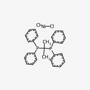 CC(C)(P(c1ccccc1)c1ccccc1)P(c1ccccc1)c1ccccc1.[Cl][Ni][Cl]